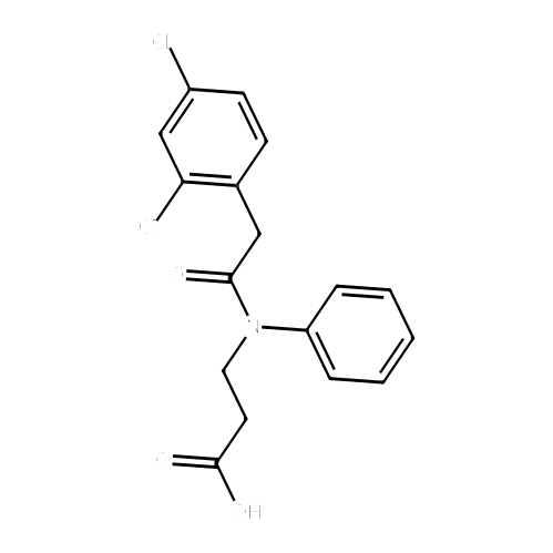 O=C(O)CCN(C(=O)Cc1ccc(Cl)cc1Cl)c1ccccc1